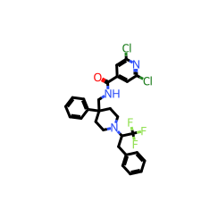 O=C(NCC1(c2ccccc2)CCN(C(Cc2ccccc2)C(F)(F)F)CC1)c1cc(Cl)nc(Cl)c1